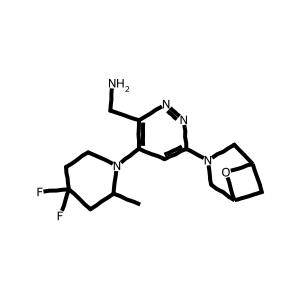 CC1CC(F)(F)CCN1c1cc(N2CC3CC(C2)O3)nnc1CN